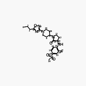 CCCc1nc(N2CCC(N3CC[C@H](Nc4ccc(S(C)(=O)=O)cc4F)C3=O)CC2)no1